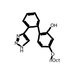 CCCCCCCCOc1ccc(-c2ccccc2-c2c[nH]nn2)c(O)c1